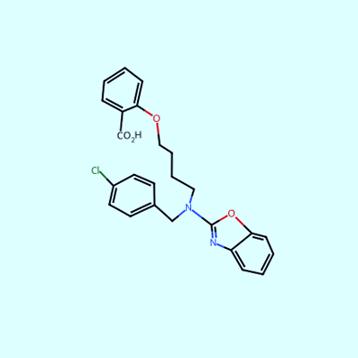 O=C(O)c1ccccc1OCCCCN(Cc1ccc(Cl)cc1)c1nc2ccccc2o1